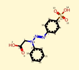 O=C(O)CN(N=Nc1ccc(S(=O)(=O)O)cc1)c1ccccc1